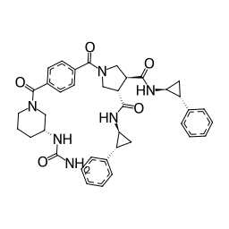 NC(=O)N[C@@H]1CCCN(C(=O)c2ccc(C(=O)N3C[C@@H](C(=O)N[C@H]4C[C@@H]4c4ccccc4)[C@H](C(=O)N[C@H]4C[C@@H]4c4ccccc4)C3)cc2)C1